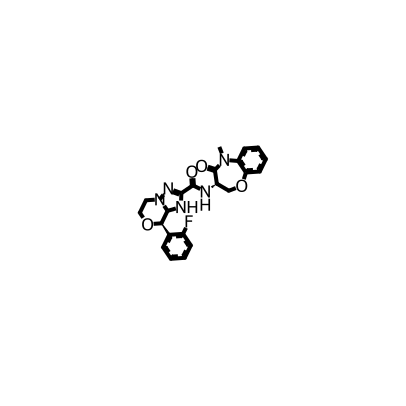 CN1C(=O)[C@@H](NC(=O)C2=NN3CCO[C@H](c4ccccc4F)C3N2)COc2ccccc21